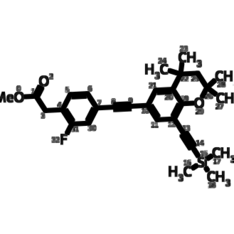 COC(=O)Cc1ccc(C#Cc2cc(C#C[Si](C)(C)C)c3c(c2)C(C)(C)CC(C)(C)O3)cc1F